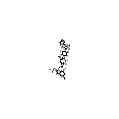 Cc1cc2cc(F)ccc2n1CC(=O)N1CCN(c2ccc(S(=O)(=O)Nc3nccs3)cc2)C(=O)C1